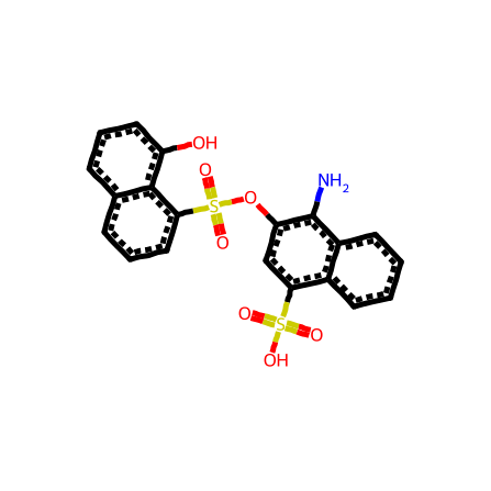 Nc1c(OS(=O)(=O)c2cccc3cccc(O)c23)cc(S(=O)(=O)O)c2ccccc12